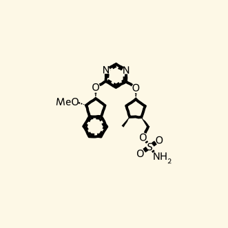 CO[C@H]1c2ccccc2C[C@H]1Oc1cc(O[C@@H]2C[C@@H](COS(N)(=O)=O)[C@@H](C)C2)ncn1